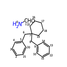 NC=O.c1ccc(CC2(Cc3ccccc3)CCCCC2)cc1